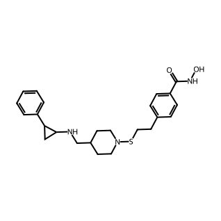 O=C(NO)c1ccc(CCSN2CCC(CNC3CC3c3ccccc3)CC2)cc1